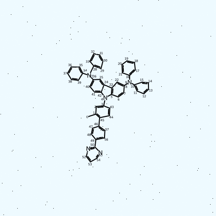 Cc1cc(-n2c3ccc(N(c4ccccc4)c4ccccc4)cc3c3cc(N(c4ccccc4)c4ccccc4)ccc32)ccc1-c1ccc(-c2ncccn2)cc1